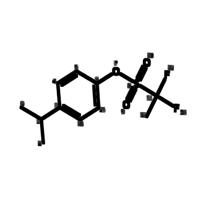 CC(C)c1ccc(OS(=O)(=O)C(C)(F)F)cc1